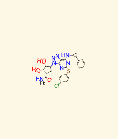 CCNC(=O)[C@@H]1C[C@H](n2nnc3c(NC4CC4c4ccccc4)nc(Sc4ccc(Cl)cc4)nc32)[C@@H](O)[C@H]1O